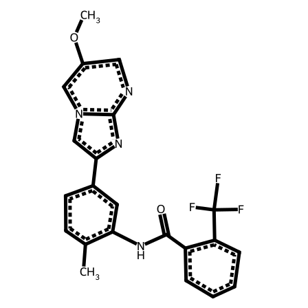 COc1cnc2nc(-c3ccc(C)c(NC(=O)c4ccccc4C(F)(F)F)c3)cn2c1